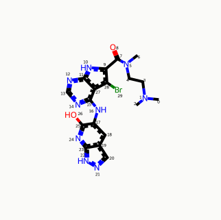 CN(C)CCN(C)C(=O)c1[nH]c2ncnc(Nc3cc4cn[nH]c4nc3O)c2c1Br